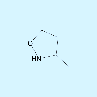 CC1CCON1